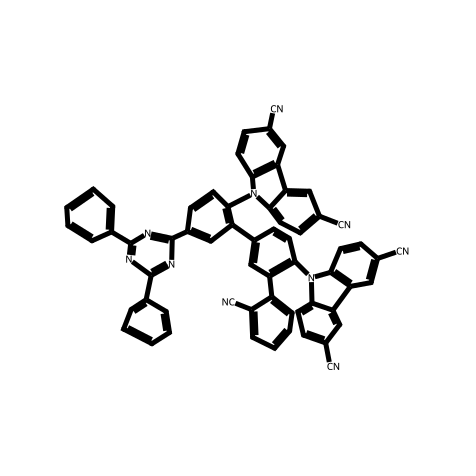 N#Cc1ccc2c(c1)c1cc(C#N)ccc1n2-c1ccc(-c2nc(-c3ccccc3)nc(-c3ccccc3)n2)cc1-c1ccc(-n2c3ccc(C#N)cc3c3cc(C#N)ccc32)c(-c2ccccc2C#N)c1